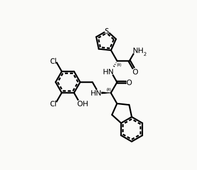 NC(=O)[C@H](NC(=O)[C@H](NCc1cc(Cl)cc(Cl)c1O)C1Cc2ccccc2C1)c1ccsc1